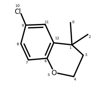 CC1(C)CCOc2ccc(Cl)cc21